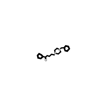 O=C(CCCCN1CCN(Cc2ccccc2)CC1)c1ccccc1